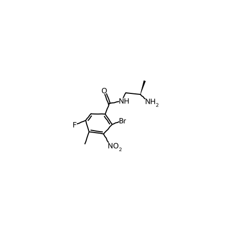 Cc1c(F)cc(C(=O)NC[C@@H](C)N)c(Br)c1[N+](=O)[O-]